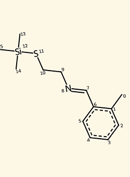 Cc1ccccc1C=NCCS[Si](C)(C)C